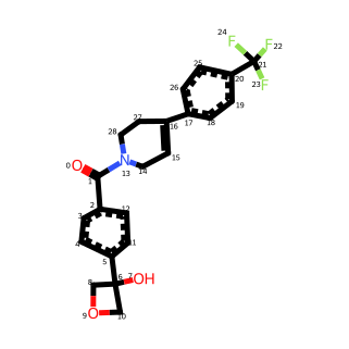 O=C(c1ccc(C2(O)COC2)cc1)N1CC=C(c2ccc(C(F)(F)F)cc2)CC1